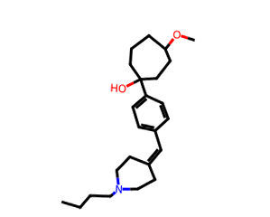 CCCCN1CCC(=Cc2ccc(C3(O)CCCC(OC)CC3)cc2)CC1